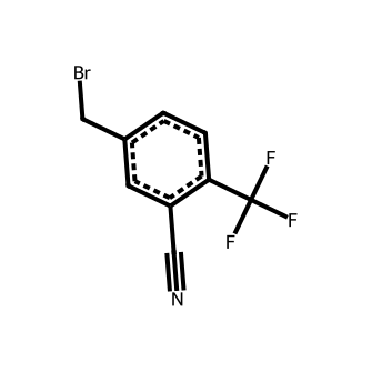 N#Cc1cc(CBr)ccc1C(F)(F)F